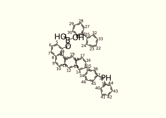 OB(O)Oc1cccc2ccc3cc4ccccc4cc3c12.c1ccc(-c2ccccc2)cc1.c1ccc(Pc2ccccc2)cc1